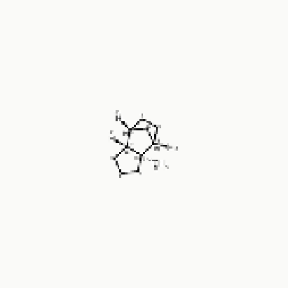 C[C@]12CCC[C@@H]1[C@@H]1CC[C@H]2C1